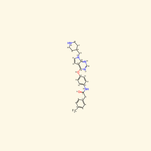 O=C(Cc1ccc(C(F)(F)F)cc1)Nc1ccc(Oc2ncnc3c2ccn3CC2CCNCC2)cc1